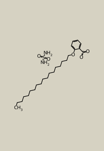 CCCCCCCCCCCCCCCCCCOc1ccccc1I(=O)=O.NS(N)(=O)=O